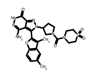 Cc1ccc2oc(-c3c4c(N)n[nH]c(=O)c4nn3C3CCN(C(=O)N4CCS(=O)(=O)CC4)C3)c(C)c2c1